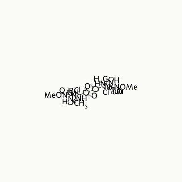 CC[C@H](C)[C@H](NC(=O)OC)C(=O)N1CCC[C@@]1(C)c1nc(Cl)c(-c2cc3c4c(c2)OCc2cc(-c5[nH]c([C@]6(C)CCCN6C(=O)[C@@H](NC(=O)OC)[C@@H](C)CC)nc5Cl)cc(c2-4)OC3)[nH]1